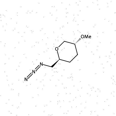 CO[C@@H]1CC[C@@H](CN=[N+]=[N-])OC1